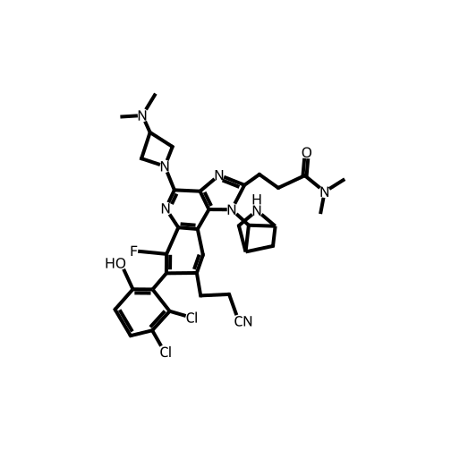 CN(C)C(=O)CCc1nc2c(N3CC(N(C)C)C3)nc3c(F)c(-c4c(O)ccc(Cl)c4Cl)c(CCC#N)cc3c2n1C1C2CNC1C2